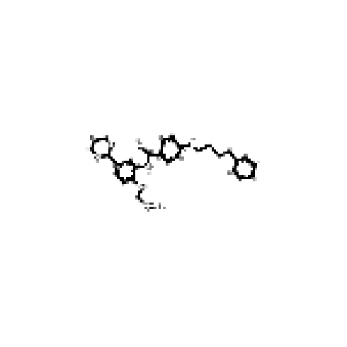 CCOC(=O)COc1ccc(C2OCCCO2)cc1NC(=O)c1ccc(OCCCCc2ccccc2)cc1